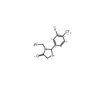 CC(C)CN1C(=O)CSC1c1ccc(C(F)(F)F)c(F)c1